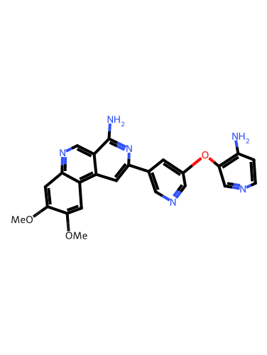 COc1cc2ncc3c(N)nc(-c4cncc(Oc5cnccc5N)c4)cc3c2cc1OC